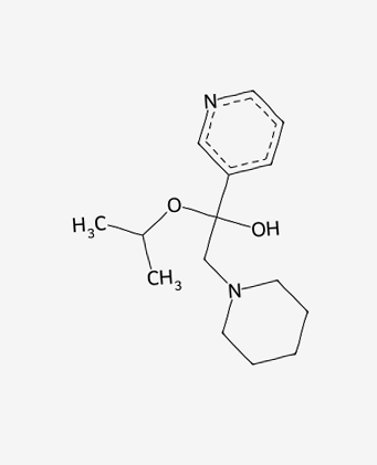 CC(C)OC(O)(CN1CCCCC1)c1cccnc1